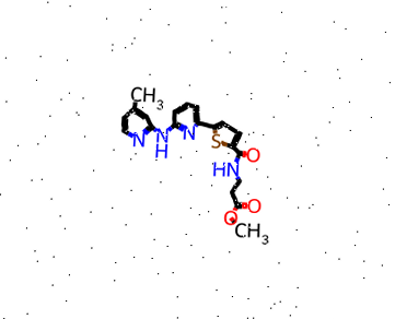 COC(=O)CCNC(=O)c1ccc(-c2cccc(Nc3cc(C)ccn3)n2)s1